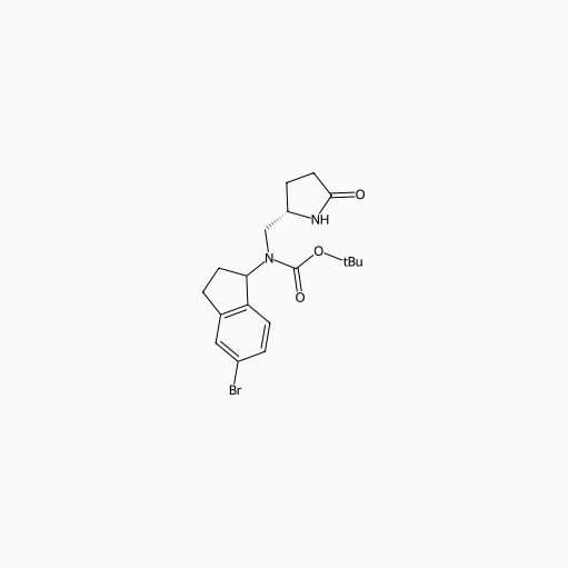 CC(C)(C)OC(=O)N(C[C@@H]1CCC(=O)N1)C1CCc2cc(Br)ccc21